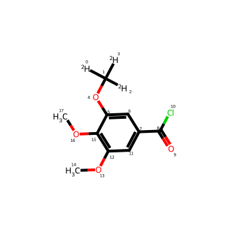 [2H]C([2H])([2H])Oc1cc(C(=O)Cl)cc(OC)c1OC